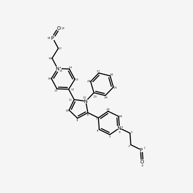 O=PCC[n+]1ccc(-c2ccc(-c3cc[n+](CCP=O)cc3)n2-c2ccccc2)cc1